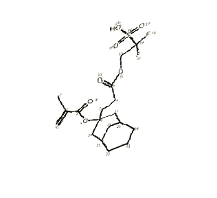 C=C(C)C(=O)OC1(CCC(=O)OCC(F)(F)S(=O)(=O)O)CC2CCCC(C2)C1